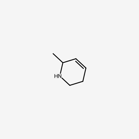 CC1C=CCCN1